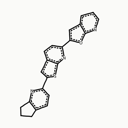 c1cnc2oc(-c3ccc4cc(-c5ccc6c(n5)CCC6)sc4n3)cc2c1